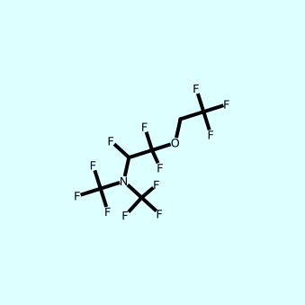 FC(N(C(F)(F)F)C(F)(F)F)C(F)(F)OCC(F)(F)F